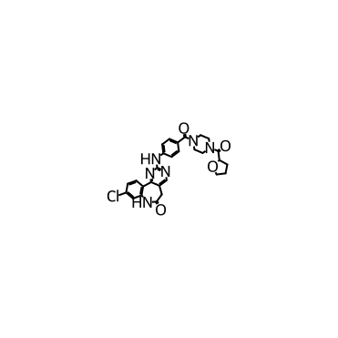 O=C1Cc2cnc(Nc3ccc(C(=O)N4CCN(C(=O)C5CCCO5)CC4)cc3)nc2-c2ccc(Cl)cc2N1